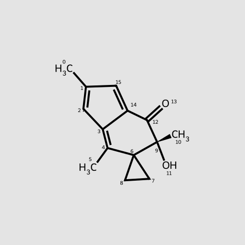 CC1=[C]C2=C(C)C3(CC3)[C@@](C)(O)C(=O)C2=C1